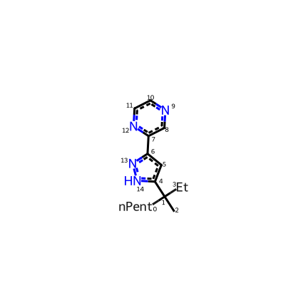 CCCCCC(C)(CC)c1cc(-c2cnccn2)n[nH]1